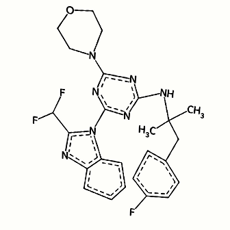 CC(C)(Cc1ccc(F)cc1)Nc1nc(N2CCOCC2)nc(-n2c(C(F)F)nc3ccccc32)n1